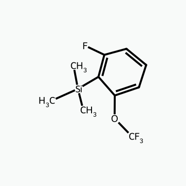 C[Si](C)(C)c1c(F)cccc1OC(F)(F)F